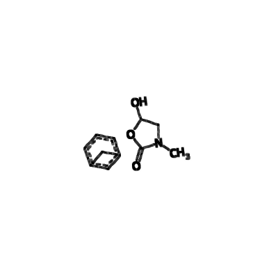 CN1CC(O)OC1=O.c1cc2cc(c1)C2